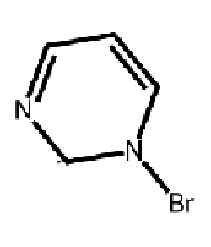 BrN1[CH]N=CC=C1